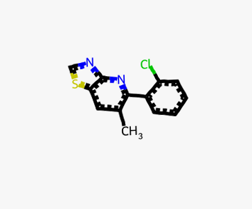 Cc1cc2scnc2nc1-c1ccccc1Cl